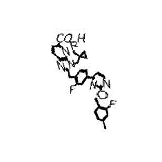 Cc1ccc(COc2nccc(-c3ccc(Cc4nc5ccc(C(=O)O)nc5n4CC4(CF)CC4)c(F)c3)n2)c(F)c1